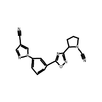 N#Cc1cnn(-c2cccc(-c3nc(C4CCCN4C#N)no3)c2)c1